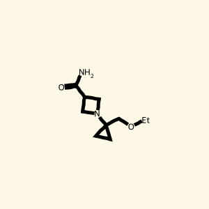 CCOCC1(N2CC(C(N)=O)C2)CC1